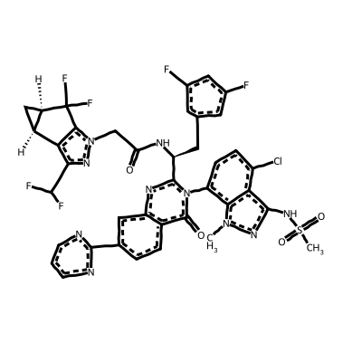 Cn1nc(NS(C)(=O)=O)c2c(Cl)ccc(-n3c([C@H](Cc4cc(F)cc(F)c4)NC(=O)Cn4nc(C(F)F)c5c4C(F)(F)[C@@H]4C[C@H]54)nc4cc(-c5ncccn5)ccc4c3=O)c21